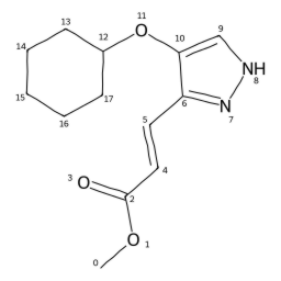 COC(=O)/C=C/c1n[nH]cc1OC1CCCCC1